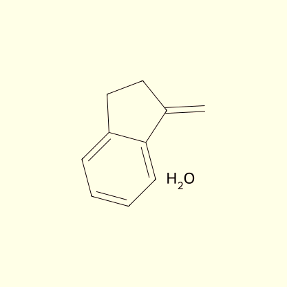 C=C1CCc2ccccc21.O